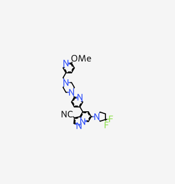 COc1ccc(CN2CCN(c3ccc(-c4cc(N5CCC(F)(F)C5)cn5ncc(C#N)c45)cn3)CC2)cn1